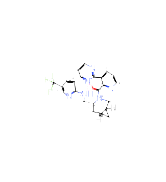 O=C(c1ncccc1-c1ncccn1)N1C[C@@H]2C[C@@H]2C[C@H]1CNc1ccc(C(F)(F)F)cn1